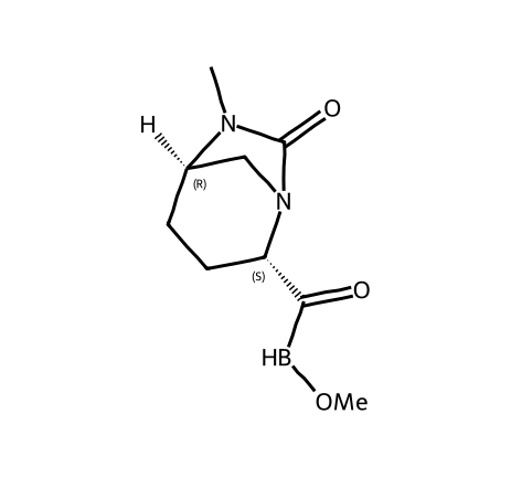 COBC(=O)[C@@H]1CC[C@@H]2CN1C(=O)N2C